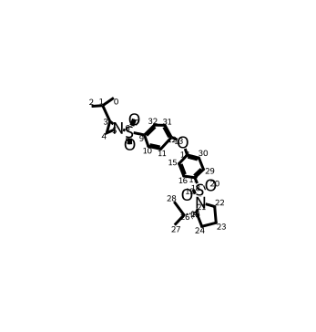 CC(C)C1CN1S(=O)(=O)c1ccc(Oc2ccc(S(=O)(=O)N3CCC[C@@H]3C(C)C)cc2)cc1